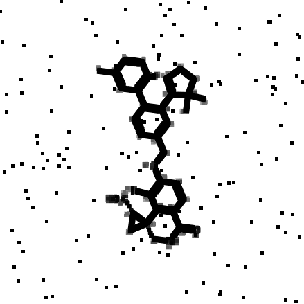 Cc1ccc(F)c(-c2ccc(COc3ccc4c(c3F)[C@@]3(CNC4=O)C[C@@H]3C(=O)O)cc2C2=CCCC2(C)C)c1